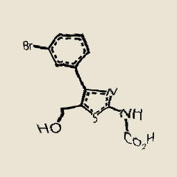 O=C(O)Nc1nc(-c2cccc(Br)c2)c(CO)s1